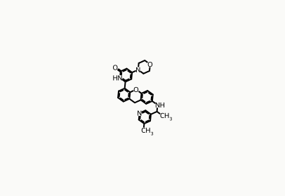 Cc1cncc(C(C)Nc2ccc3c(c2)Cc2cccc(-c4cc(N5CCOCC5)cc(=O)[nH]4)c2O3)c1